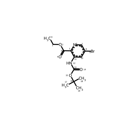 CCOC(=O)c1ncc(Br)cc1NC(=O)OC(C)(C)C